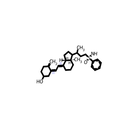 C=C1CCC(O)C/C1=C/C=C1\CCC[C@]2(C)C(C(C)CCS(=N)(=O)c3ccccc3)CC[C@@H]12